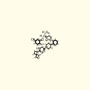 CC[C@H](COc1cccnc1C1CCN(C(=O)[C@@H](Cc2ccc(Cl)cc2Cl)NC(=O)N2CCC23COC3)CC1)N(C)C